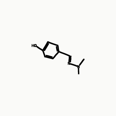 CN(C)N=Cc1ccc(O)cc1